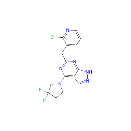 FC1(F)CCN(c2nc(Cc3cccnc3Cl)nc3[nH]ncc23)C1